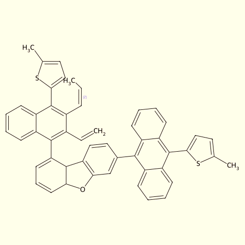 C=Cc1c(/C=C\C)c(-c2ccc(C)s2)c2ccccc2c1C1=CC=CC2Oc3cc(-c4c5ccccc5c(-c5ccc(C)s5)c5ccccc45)ccc3C12